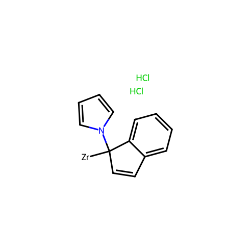 Cl.Cl.[Zr][C]1(n2cccc2)C=Cc2ccccc21